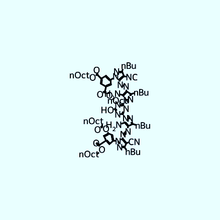 [C-]#[N+]c1c(CCCC)nn(-c2cc(C(=O)OCCCCCCCC)cc(C(=O)OCCCCCCCC)c2)c1N=Nc1c(CCCC)nn(-c2nc(O)nc(-n3nc(CCCC)c(N=Nc4c(C#N)c(CCCC)nn4-c4cc(OC(=O)CCCCCCCC)cc(C(=O)OCCCCCCCC)c4)c3N)n2)c1N